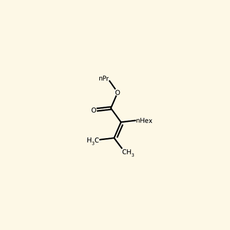 CCCCCCC(C(=O)OCCC)=C(C)C